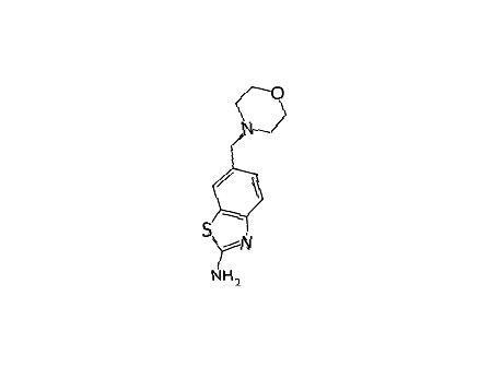 Nc1nc2ccc(CN3CCOCC3)cc2s1